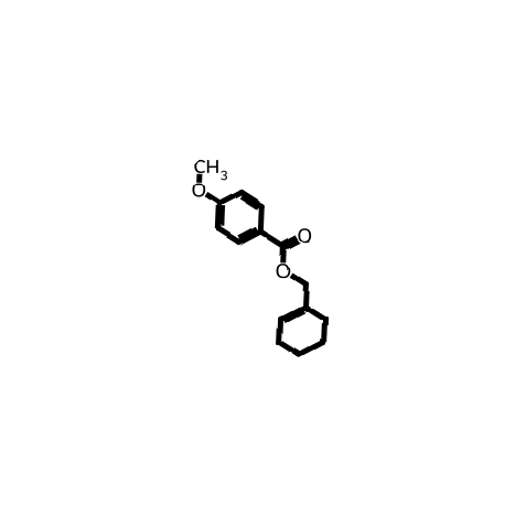 COc1ccc(C(=O)OCC2=CCCCC2)cc1